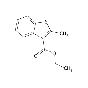 CCOC(=O)c1c(C)sc2ccccc12